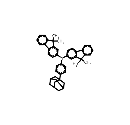 CC1(C)c2ccccc2-c2ccc(N(c3ccc(C45CC6CC(CC(C6)C4)C5)cc3)c3ccc4c(c3)C(C)(C)c3ccccc3-4)cc21